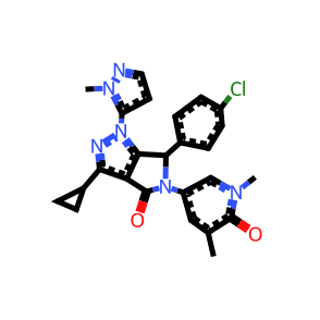 Cc1cc(N2C(=O)c3c(C4CC4)nn(-c4ccnn4C)c3C2c2ccc(Cl)cc2)cn(C)c1=O